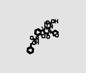 C[C@@]1(c2cccc(NC(=O)OCc3ccccc3)c2Cl)CC(=O)N(C2CCOC2)C(=NC(=O)O)N1